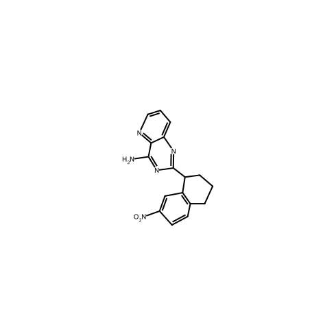 Nc1nc(C2CCCc3ccc([N+](=O)[O-])cc32)nc2cccnc12